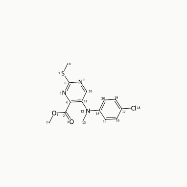 COC(=O)c1nc(SC)ncc1N(C)c1ccc(Cl)cc1